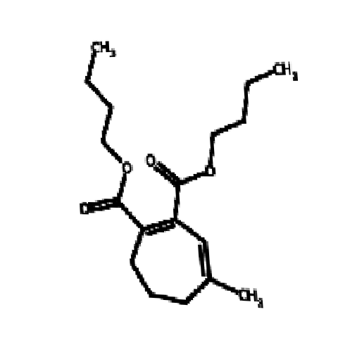 CCCCOC(=O)C1=C(C(=O)OCCCC)CCCC(C)=C1